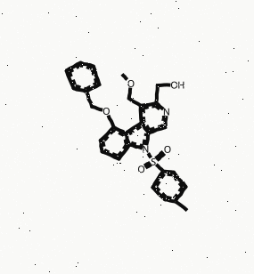 COCc1c(CO)ncc2c1c1c(OCc3ccccc3)cccc1n2S(=O)(=O)c1ccc(C)cc1